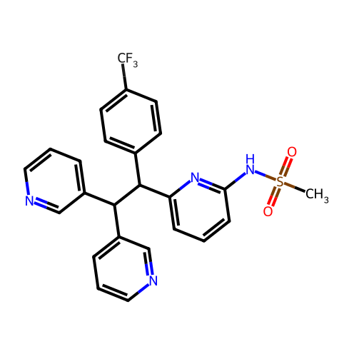 CS(=O)(=O)Nc1cccc(C(c2ccc(C(F)(F)F)cc2)C(c2cccnc2)c2cccnc2)n1